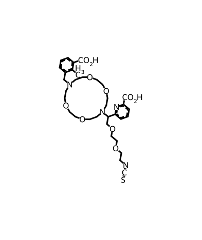 Cc1c(CN2CCOCCOCCN(C(COCCOCCN=C=S)c3cccc(C(=O)O)n3)CCOCCOCC2)cccc1C(=O)O